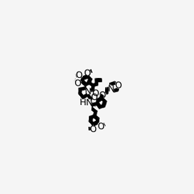 C=CCC(C(=O)N1CCCCC1C(=O)N[C@H](CCc1ccc(OC)c(OC)c1)c1cccc(OCCN2CCOCC2)c1)c1cc(OC)c(OC)c(OC)c1